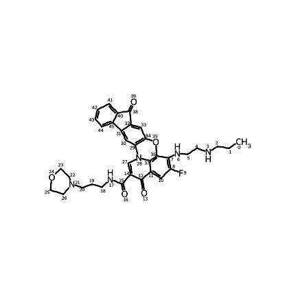 CCCNCCNc1c(F)cc2c(=O)c(C(=O)NCCCN3CCOCC3)cn3c4cc5c(cc4oc1c23)c(=O)c1ccccc15